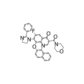 O=C(c1cn2c3c(c(N4CCN=C4c4ccccc4)c(F)cc3c1=O)Oc1ccc3ccccc3c1-2)N1CCOCC1